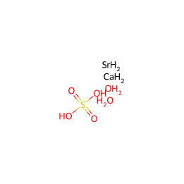 O.O.O=S(=O)(O)O.[CaH2].[SrH2]